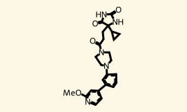 COc1cc(-c2cccc(N3CCN(C(=O)CCC4(C5CC5)NC(=O)NC4=O)CC3)c2)ccn1